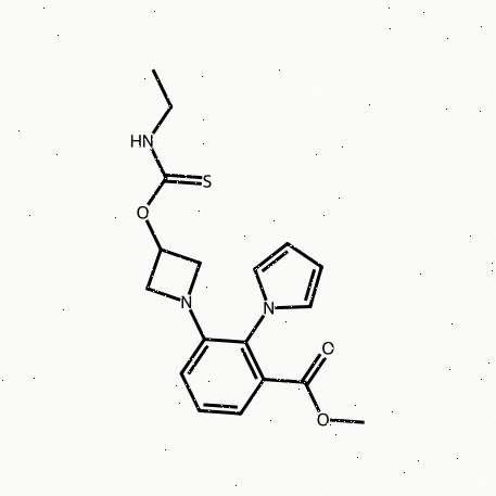 CCNC(=S)OC1CN(c2cccc(C(=O)OC)c2-n2cccc2)C1